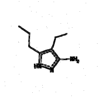 CCCc1[nH]nc(N)c1CC